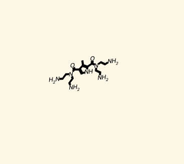 Cc1c(C(=O)N(CCN)CCN)c[nH]c1C(=O)N(CCN)CCN